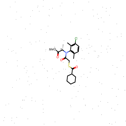 COC(=O)[C@H](C)N(C(=O)CSC(=O)C1CCCCC1)c1c(C)ccc(Cl)c1C